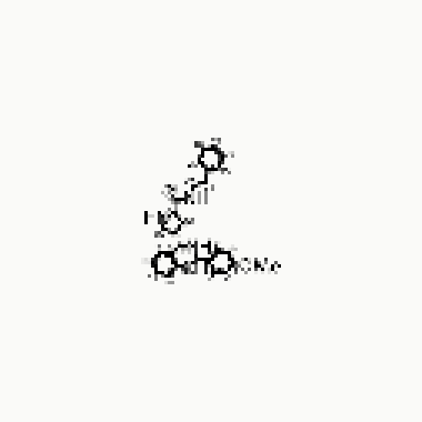 COc1ccc(CNC(c2ccccc2C)[C@@H]2CN[C@H](C(=O)NCCc3ccccc3)C2)cc1